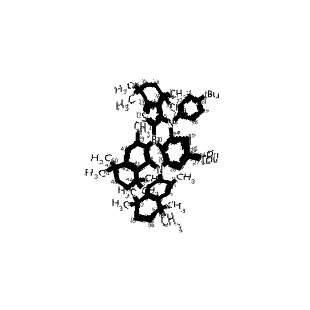 CC1=CC2=C(CC1N1C3=C(B4c5sc6c(c5N(c5ccc(C(C)(C)C)cc5)c5cc(C(C)(C)C)cc1c54)C(C)(C)CCC6(C)C)C(C)CC1=C3C(C)(C)CCC1(C)C)C(C)(C)CCC2(C)C